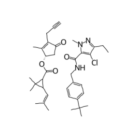 C#CCC1=C(C)[C@@H](OC(=O)C2C(C=C(C)C)C2(C)C)CC1=O.CCc1nn(C)c(C(=O)NCc2ccc(C(C)(C)C)cc2)c1Cl